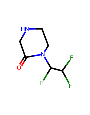 O=C1CNCCN1C(F)C(F)F